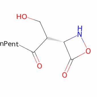 CCCCCC(=O)C(CO)[C@@H]1NOC1=O